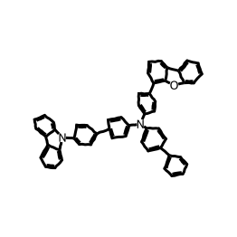 c1ccc(-c2ccc(N(c3ccc(-c4ccc(-n5c6ccccc6c6ccccc65)cc4)cc3)c3ccc(-c4cccc5c4oc4ccccc45)cc3)cc2)cc1